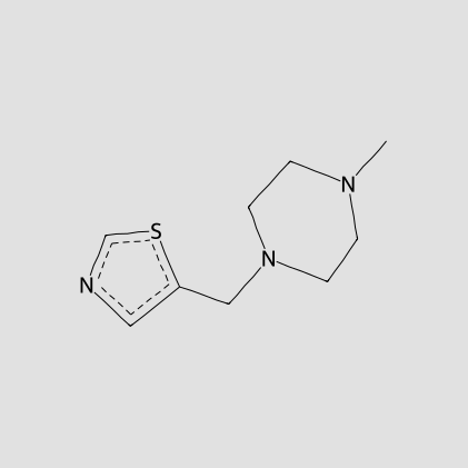 CN1CCN(Cc2cncs2)CC1